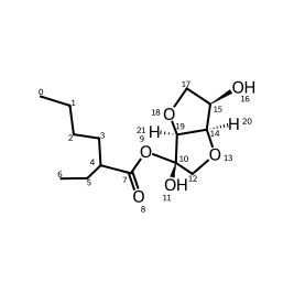 CCCCC(CC)C(=O)O[C@@]1(O)CO[C@@H]2[C@H](O)CO[C@@H]21